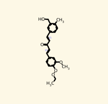 CCOOc1ccc(/C=C/C(=O)/C=C/c2ccc(C)c(CO)c2)cc1OC